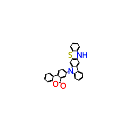 O=c1oc2ccccc2c2ccc(-n3c4ccccc4c4cc5c(cc43)Sc3ccccc3N5)cc12